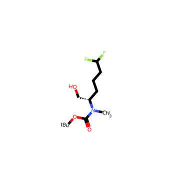 CN(C(=O)OC(C)(C)C)[C@H](CO)CCCC(F)F